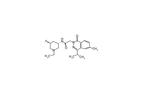 CCN1C[C@@H](F)C[C@H](NC(=O)Cn2nc(C(C)C)c3cc(C)ccc3c2=O)C1